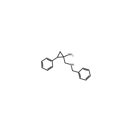 NC1(CNCc2ccccc2)CC1c1ccccc1